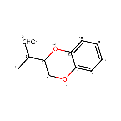 CC([C]=O)C1COc2ccccc2O1